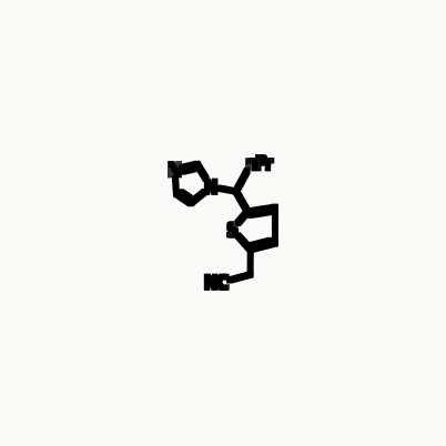 CCCC(c1ccc(CC#N)s1)n1ccnc1